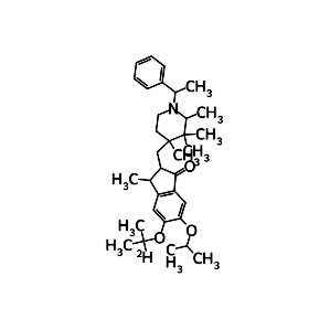 [2H]C(C)(C)Oc1cc2c(cc1OC(C)C)C(=O)C(CC1(C)CCN(C(C)c3ccccc3)C(C)C1(C)C)C2C